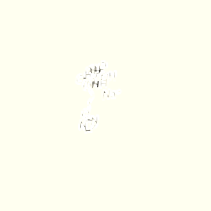 O=P([O-])(O)C(NCCCCOc1ncccn1)P(=O)(O)O.[Na+]